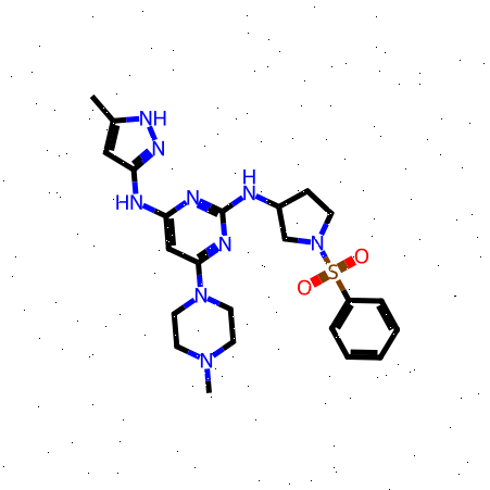 Cc1cc(Nc2cc(N3CCN(C)CC3)nc(NC3CCN(S(=O)(=O)c4ccccc4)C3)n2)n[nH]1